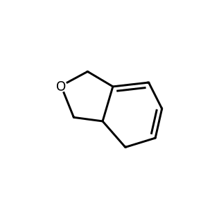 C1=CCC2COCC2=C1